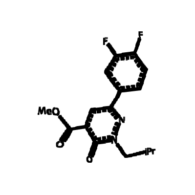 COC(=O)c1cc(-c2ccc(F)c(F)c2)nn(CC(C)C)c1=O